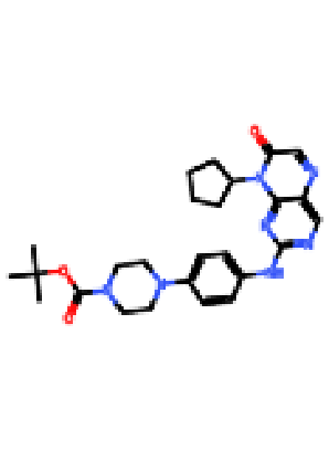 CC(C)(C)OC(=O)N1CCN(c2ccc(Nc3ncc4ncc(=O)n(C5CCCC5)c4n3)cc2)CC1